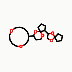 C1CCOCCC(C2CCOC3(CCCC3C3COC4(CCCC4)O3)O2)CCCCOC1